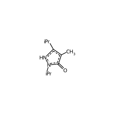 Cc1c(C(C)C)[nH]n(C(C)C)c1=O